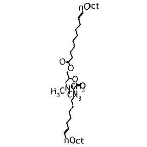 CCCCCCCC/C=C/CCCCCCCC(=O)OCC(C[N+](C)(C)C)OC(=O)CCCCCCC/C=C/CCCCCCCC